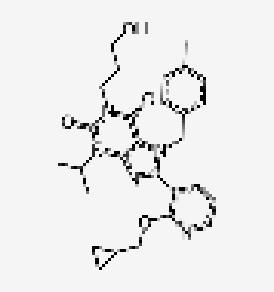 Cc1ccc(Cn2c(-c3cccnc3OCC3CC3)nc3c2c(=O)n(CCCO)c(=O)n3C(C)C)cc1